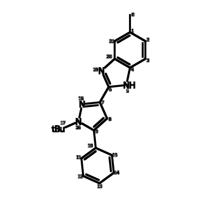 Cc1ccc2[nH]c(-c3cc(-c4ccccc4)n(C(C)(C)C)n3)nc2c1